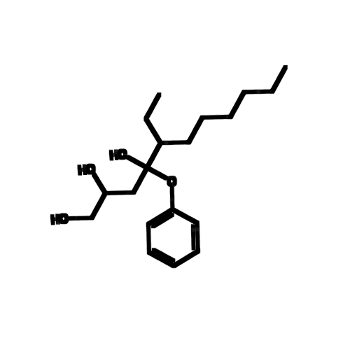 CCCCCCC(CC)C(O)(CC(O)CO)Oc1ccccc1